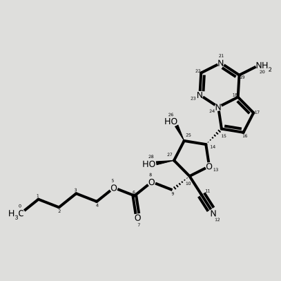 CCCCCOC(=O)OC[C@@]1(C#N)O[C@@H](c2ccc3c(N)ncnn23)[C@H](O)[C@@H]1O